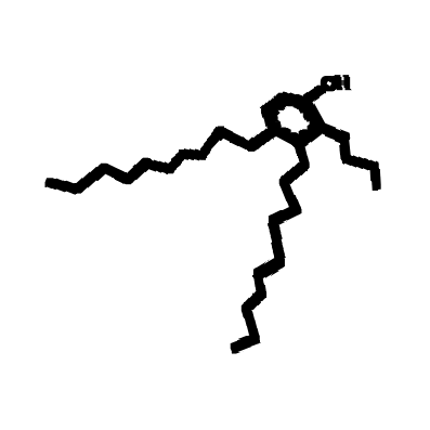 CCCCCCCCCCc1ccc(O)c(CCCC)c1CCCCCCCCCC